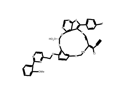 C#C/C(Cl)=C1\C=C/Cc2c(-c3ccc(F)cc3)sc3ncnc(c23)O[C@@H](C(=O)O)Cc2cc(ccc2OCc2ccnc(-c3ccccc3OC)n2)CCN1